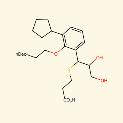 CCCCCCCCCCCCOc1c(C2CCCC2)cccc1C(SCCC(=O)O)C(O)CO